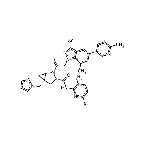 CC(=O)c1nn(CC(=O)N2C3C[C@]3(Cn3cccn3)C[C@H]2C(=O)Nc2nc(Br)ccc2C)c2c(C)cc(-c3cnc(C)nc3)cc12